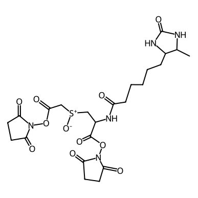 CC1NC(=O)NC1CCCCCC(=O)NC(C[S+]([O-])CC(=O)ON1C(=O)CCC1=O)C(=O)ON1C(=O)CCC1=O